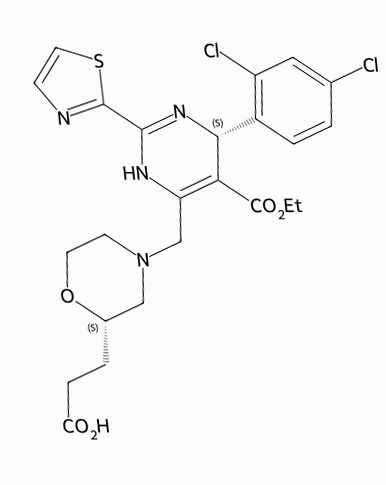 CCOC(=O)C1=C(CN2CCO[C@@H](CCC(=O)O)C2)NC(c2nccs2)=N[C@@H]1c1ccc(Cl)cc1Cl